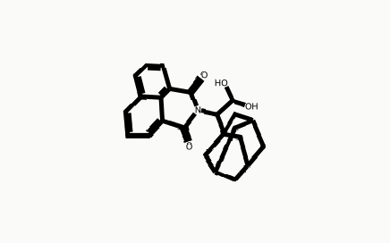 O=C1c2cccc3cccc(c23)C(=O)N1C(C(O)O)C12CC3CC(CC(C3)C1)C2